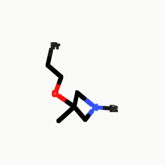 CCN1CC(C)(OCCC(C)C)C1